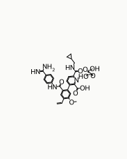 C=Cc1cc(C(=O)Nc2ccc(C(=N)N)cc2)c(-c2ccc(C(=O)NCC3CC3)nc2C(=O)O)cc1OC.O=S(=O)(O)O